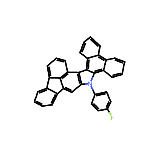 Fc1ccc(-n2c3cc4c5c(cccc5c3c3c5ccccc5c5ccccc5c32)-c2ccccc2-4)cc1